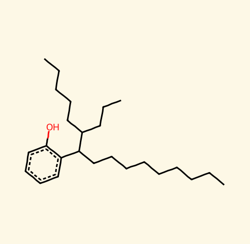 CCCCCCCCCC(c1ccccc1O)C(CCC)CCCCC